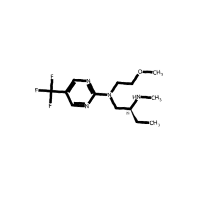 CC[C@@H](CN(CCOC)c1ncc(C(F)(F)F)cn1)NC